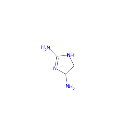 NC1=NC(N)CN1